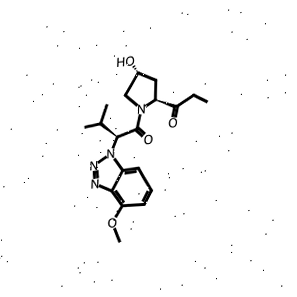 CCC(=O)[C@@H]1C[C@@H](O)CN1C(=O)[C@H](C(C)C)n1nnc2c(OC)cccc21